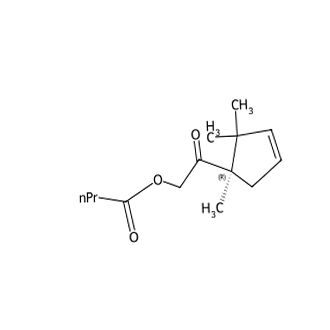 CCCC(=O)OCC(=O)[C@]1(C)CC=CC1(C)C